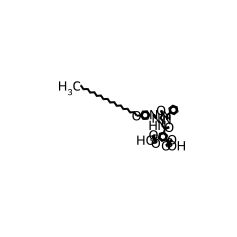 CCCCCCCCCCCCCCCCCCOc1ccc(N=NC2C(=O)N(c3ccccc3)N=C2NC(=O)c2cc(S(=O)(=O)O)cc(S(=O)(=O)O)c2)cc1